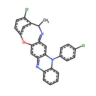 CC1N=c2cc3c(cc2Oc2ccc(Cl)c1c2)=Nc1ccccc1N3c1ccc(Cl)cc1